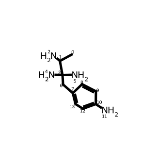 CC(N)C(N)(N)Cc1ccc(N)cc1